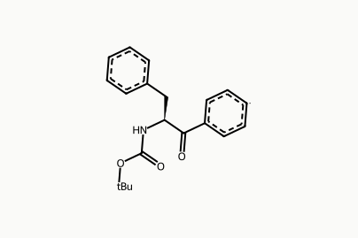 CC(C)(C)OC(=O)N[C@@H](Cc1ccccc1)C(=O)c1cc[c]cc1